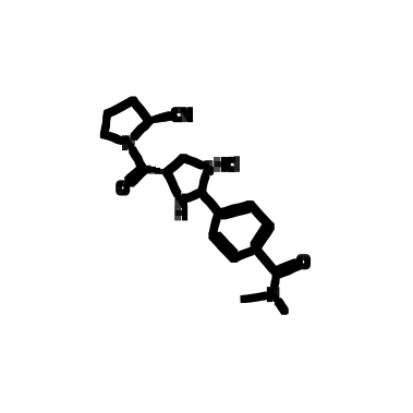 CN(C)C(=O)c1ccc(C2N[C@H](C(=O)N3CCC[C@H]3C#N)CS2)cc1.Cl